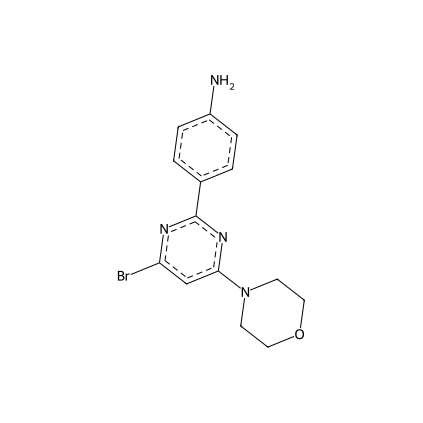 Nc1ccc(-c2nc(Br)cc(N3CCOCC3)n2)cc1